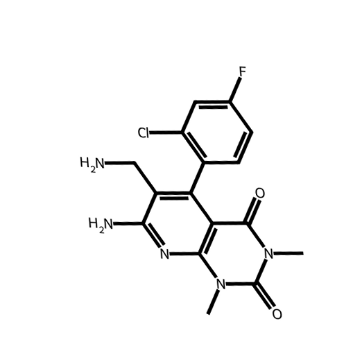 Cn1c(=O)c2c(-c3ccc(F)cc3Cl)c(CN)c(N)nc2n(C)c1=O